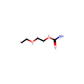 CCOCCOC([NH])=O